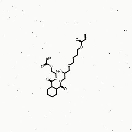 C=CC(=O)OCCCCOCC(O)COC(=O)C1CCCCC1C(=O)OCCOC(=O)C(C)CC